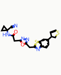 N#CC1(NC(=O)Cc2nnc(Cc3nc4ccc(C5C=CSC5)cc4s3)o2)CC1